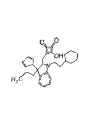 C=CCC1(C2C=CC=C2)c2ccccc2N(CCC2CCCCC2)C1Cc1c(O)c(=O)c1=O